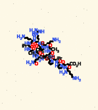 CC(C)[C@H](NC(=O)[C@H](CCCCN)NC(=O)[C@H](CCCNC(=N)N)NC(=O)[C@@H]1CCCN1C(=O)[C@H](CCCCN)NC(=O)[C@H](C)NC(=O)[C@H](CCC(N)=O)NC(=O)[C@@H]1CCCN1C(=O)[C@@H](NC(=O)[C@H]1CCCN1C(=O)[C@H](CCC(=O)O)NC(=O)[C@@H](N)CCCCN)C(C)C)C(=O)N[C@@H](C)C(=O)N[C@@H](C)C(=O)N[C@@H](CCC(N)=O)C(=O)O